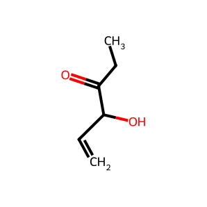 C=CC(O)C(=O)CC